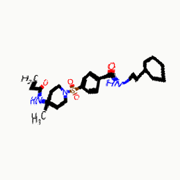 C=CC(=O)NC1(C)CCN(S(=O)(=O)c2ccc(C(=O)NCCC3CCCCC3)cc2)CC1